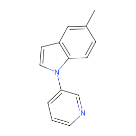 Cc1ccc2c(ccn2-c2cccnc2)c1